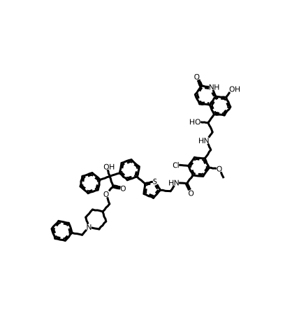 COc1cc(C(=O)NCc2ccc(-c3cccc(C(O)(C(=O)OCC4CCN(Cc5ccccc5)CC4)c4ccccc4)c3)s2)c(Cl)cc1CNCC(O)c1ccc(O)c2[nH]c(=O)ccc12